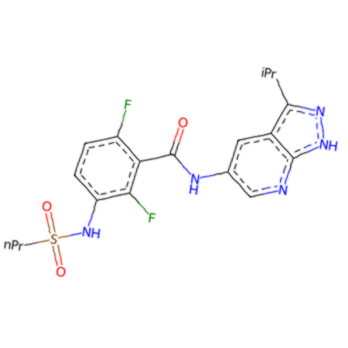 CCCS(=O)(=O)Nc1ccc(F)c(C(=O)Nc2cnc3[nH]nc(C(C)C)c3c2)c1F